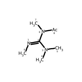 CN=C(N(C)C)N(C)C(C)=O